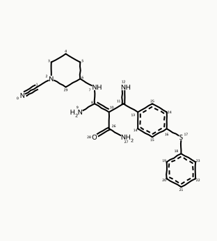 N#CN1CCCC(N/C(N)=C(\C(=N)c2ccc(Sc3ccccc3)cc2)C(N)=O)C1